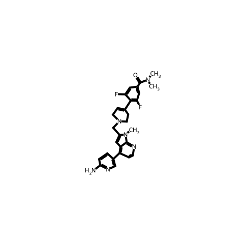 CN(C)C(=O)c1cc(F)c(C2=CCN(Cc3cc4c(-c5ccc(N)nc5)ccnc4n3C)CC2)c(F)c1